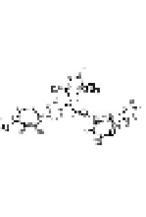 COc1ccc(N2CCN(CCOc3cc(C)nc(-c4ccccc4)n3)CC2)cc1.O=C(O)/C=C\C(=O)O